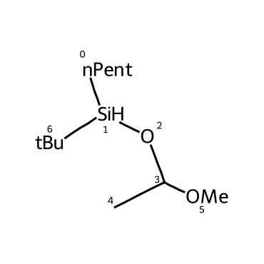 CCCCC[SiH](OC(C)OC)C(C)(C)C